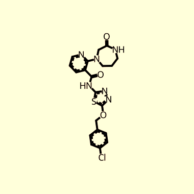 O=C1CN(c2ncccc2C(=O)Nc2nnc(OCc3ccc(Cl)cc3)s2)CCCN1